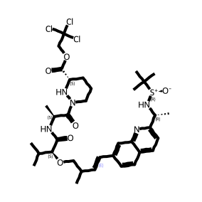 CC(/C=C/c1ccc2ccc([C@@H](C)N[S@@+]([O-])C(C)(C)C)nc2c1)CO[C@H](C(=O)N[C@@H](C)C(=O)N1CCC[C@@H](C(=O)OCC(Cl)(Cl)Cl)N1)C(C)C